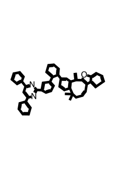 C=C1c2cc(-c3ccccc3-c3cccc(-c4nc(-c5ccccc5)cc(-c5ccccc5)n4)c3)ccc2C(C)(C)C/C=C\c2c1oc1ccccc21